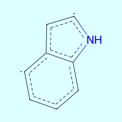 [c]1cc2[c]cccc2[nH]1